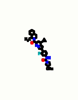 CC(=O)O[C@@H]1CCN(C(=O)Nc2ccc(-c3cc4c(C5CC5)cc(C(=O)N5CCc6ccccc6[C@H]5C)nn4c3)c(F)c2)C1